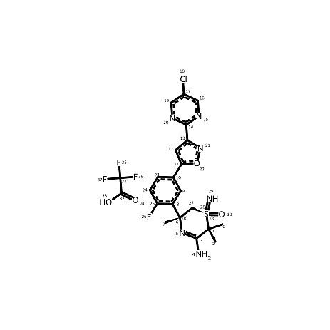 CC1(C)C(N)=N[C@](C)(c2cc(-c3cc(-c4ncc(Cl)cn4)no3)ccc2F)C[S@@]1(=N)=O.O=C(O)C(F)(F)F